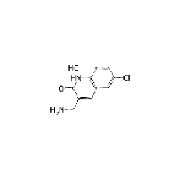 Cl.NCc1cc2cc(Cl)ccc2[nH]c1=O